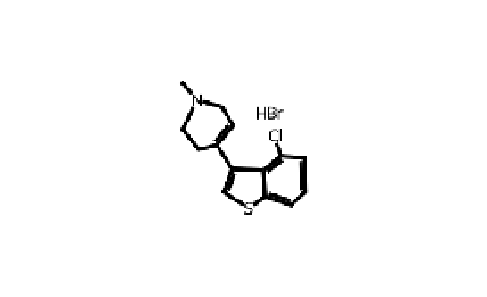 Br.CN1CC=C(c2csc3cccc(Cl)c23)CC1